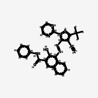 [C-]#[N+]c1c(C(C)(C)C)nn(-c2ncccn2)c1/N=N/c1c(O)c(C(=O)Nc2ccccc2)cc2ccccc12